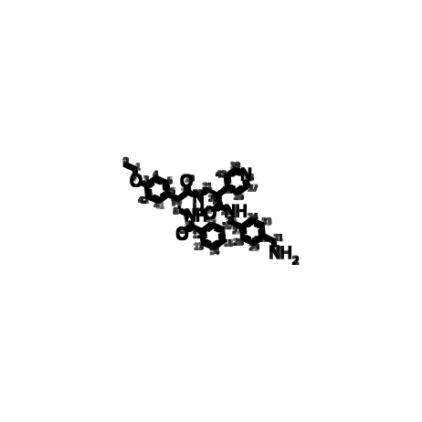 CCOc1ccc([C@@H](CNC(=O)c2ccccc2)C(=O)NC[C@H](C(=O)NCc2ccc(CN)cc2)c2ccncc2)cc1